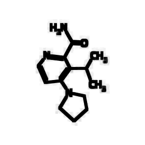 CC(C)c1c(N2CCCC2)ccnc1C(N)=O